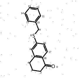 O=C1CCCc2cc(SCc3ccccc3)ccc21